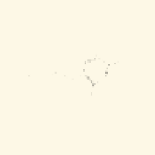 O=CCCc1cnc(Cl)cc1Cl